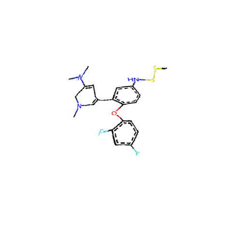 CSSNc1ccc(Oc2ccc(F)cc2F)c(C2=CN(C)CC(N(C)C)=C2)c1